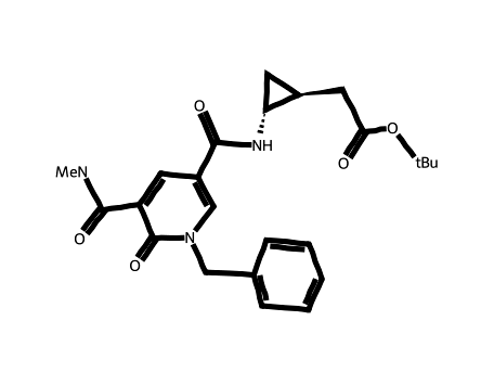 CNC(=O)c1cc(C(=O)N[C@@H]2C[C@H]2CC(=O)OC(C)(C)C)cn(Cc2ccccc2)c1=O